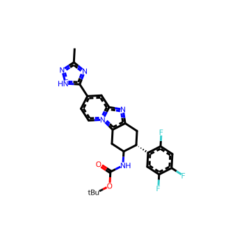 Cc1n[nH]c(-c2ccn3c4c(nc3c2)C[C@H](c2cc(F)c(F)cc2F)C(NC(=O)OC(C)(C)C)C4)n1